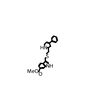 COC(=O)c1ccc2c(CSCCC3CC(c4ccccc4)=CCN3)c[nH]c2c1